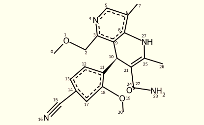 COCc1ncc(C)c2c1[C@H](c1ccc(C#N)cc1OC)C(C(N)=O)=C(C)N2